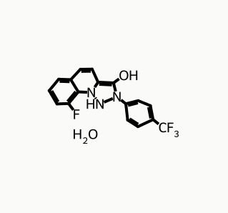 O.OC1=C2C=Cc3cccc(F)c3N2NN1c1ccc(C(F)(F)F)cc1